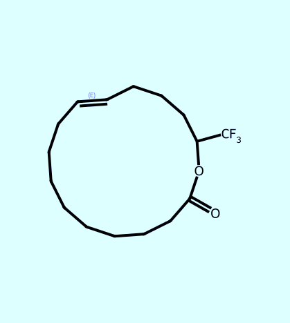 O=C1CCCCCCCC/C=C/CCCC(C(F)(F)F)O1